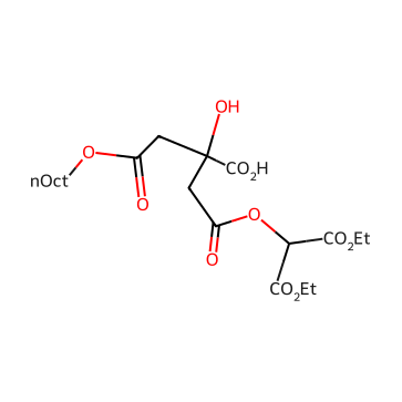 CCCCCCCCOC(=O)CC(O)(CC(=O)OC(C(=O)OCC)C(=O)OCC)C(=O)O